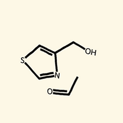 CC=O.OCc1cscn1